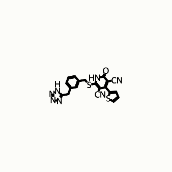 N#Cc1c(SCc2cccc(Cc3nnn[nH]3)c2)[nH]c(=O)c(C#N)c1-c1cccs1